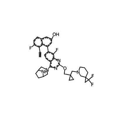 C#Cc1c(F)ccc2cc(O)cc(-c3ccc4c(N5CC6CCC(C5)N6)nc(OCC5(CN6CCCC7(C6)CC7(F)F)CC5)nc4c3F)c12